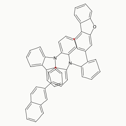 c1ccc(N(c2ccc(-c3ccc4ccccc4c3)cc2)c2ccccc2-n2c3ccccc3c3ccccc32)c(-c2ccc3c(c2)oc2ccccc23)c1